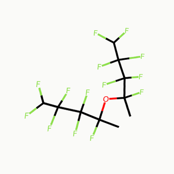 CC(F)(OC(C)(F)C(F)(F)C(F)(F)C(F)F)C(F)(F)C(F)(F)C(F)F